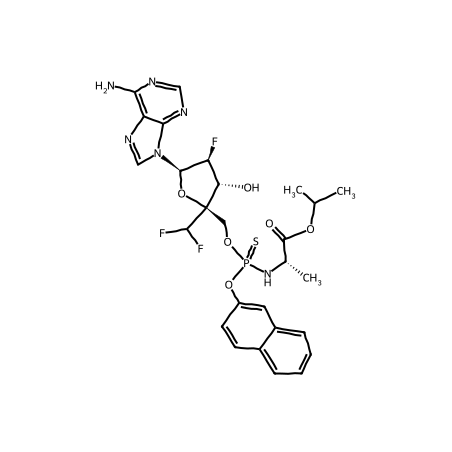 CC(C)OC(=O)[C@H](C)NP(=S)(OC[C@@]1(C(F)F)O[C@@H](n2cnc3c(N)ncnc32)[C@@H](F)[C@@H]1O)Oc1ccc2ccccc2c1